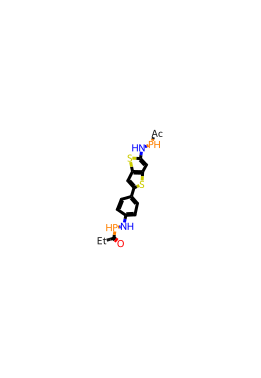 CCC(=O)PNc1ccc(-c2cc3sc(NPC(C)=O)cc3s2)cc1